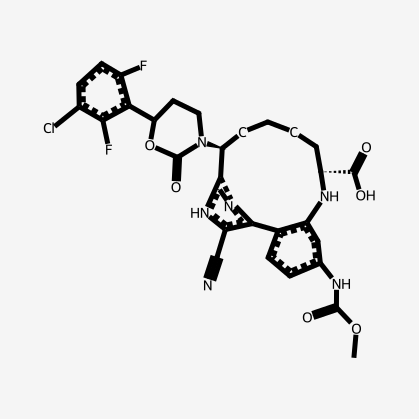 COC(=O)Nc1ccc2c(c1)N[C@@H](C(=O)O)CCCC[C@H](N1CCC(c3c(F)ccc(Cl)c3F)OC1=O)c1nc-2c(C#N)[nH]1